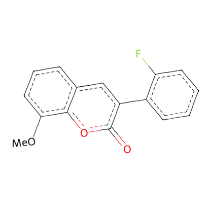 COc1cccc2cc(-c3ccccc3F)c(=O)oc12